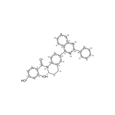 O=C(c1ccc(O)cc1O)N1CCCc2cc(-c3nc(-c4ccccc4)nc4ccccc34)ccc21